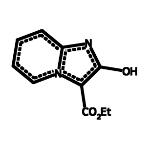 CCOC(=O)c1c(O)nc2ccccn12